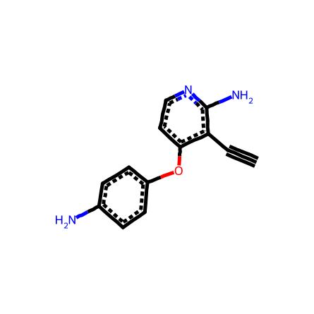 C#Cc1c(Oc2ccc(N)cc2)ccnc1N